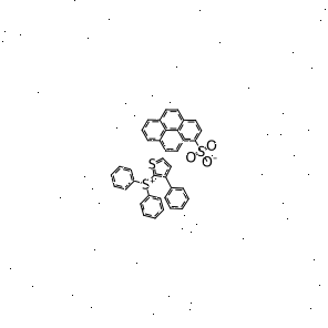 O=S(=O)([O-])c1ccc2ccc3cccc4ccc1c2c34.c1ccc(-c2ccsc2[S+](c2ccccc2)c2ccccc2)cc1